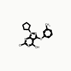 Cc1cccc(Oc2nn(C3CCCC3)c3nc(Cl)nc(O)c23)c1